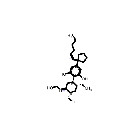 CCCC/C=C\C1(c2cc(O)c([C@@H]3C/C(=N\CO)[C@@H](CC)C[C@H]3CC)c(O)c2)CCCC1